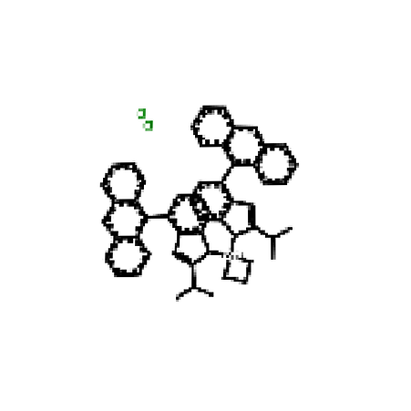 CC(C)C1=Cc2c(-c3c4ccccc4cc4ccccc34)cccc2[CH]1[Zr+2]1([CH]2C(C(C)C)=Cc3c(-c4c5ccccc5cc5ccccc45)cccc32)[CH2]C[CH2]1.[Cl-].[Cl-]